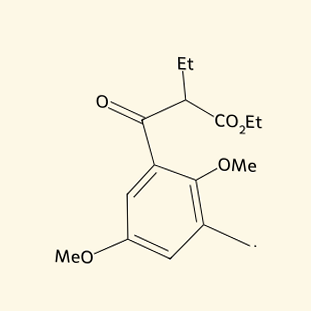 [CH2]c1cc(OC)cc(C(=O)C(CC)C(=O)OCC)c1OC